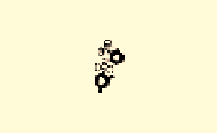 Cc1ccc(S(=O)(=O)Oc2ccccc2[N+](=O)[O-])c(C)c1